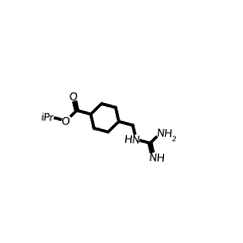 CC(C)OC(=O)C1CCC(CNC(=N)N)CC1